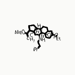 CCOC1CC[C@@]2(C)C(CC[C@@H]3[C@H]2C(NCCC(C)C)C[C@]2(C)C(C(=O)OC)CC[C@@H]32)C1